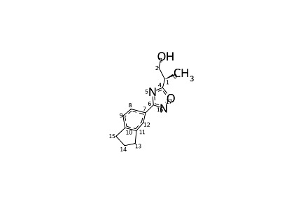 C[C@H](CO)c1nc(-c2ccc3c(c2)CCC3)no1